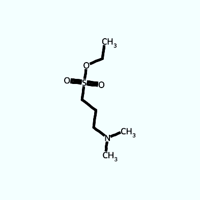 CCOS(=O)(=O)CCCN(C)C